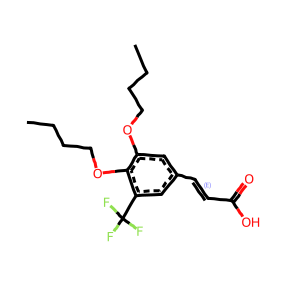 CCCCOc1cc(/C=C/C(=O)O)cc(C(F)(F)F)c1OCCCC